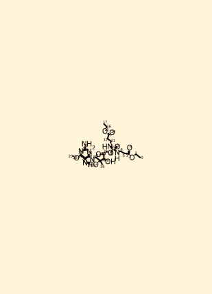 CCOC(=O)CCNP(=O)(NCCC(=O)OCC)OC[C@H]1O[C@@H](n2cnc3c(OC)nc(N)nc32)C(C)(O)C1O